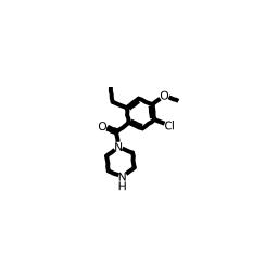 CCc1cc(OC)c(Cl)cc1C(=O)N1CCNCC1